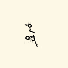 CCCCC[C@@H](C(=O)NCNC(=O)c1ccc(-c2cccc(C(=O)O)c2)o1)[C@@H](CC)N(C=O)OCc1ccccc1